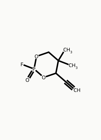 C#CC1OP(=O)(F)OCC1(C)C